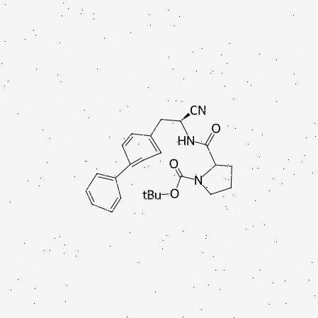 CC(C)(C)OC(=O)N1CCCC1C(=O)N[C@H](C#N)Cc1ccc(-c2ccccc2)cc1